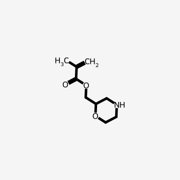 C=C(C)C(=O)OCC1CNCCO1